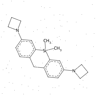 C[Si]1(C)c2cc(N3CCC3)ccc2Cc2ccc(N3CCC3)cc21